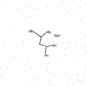 [CH2]CCC(CCCC)CC(CCCC)CCCC.[NaH]